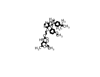 CCOC(=O)C(CC(C)C)NC(=O)OCCOc1ncnc(NS(=O)(=O)c2ccc(C(C)(C)C)cc2)c1Oc1cccc(OC)c1